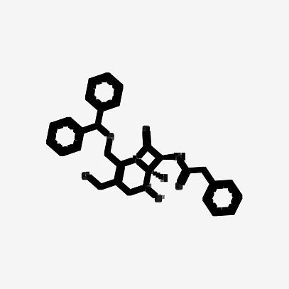 O=C(Cc1ccccc1)N[C@@H]1C(=O)N2C(COC(c3ccccc3)c3ccccc3)=C(CCl)C[S+]([O-])[C@H]12